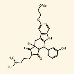 CCC12Cc3c([nH]c4ccc(OCCOC)cc34)C(c3cccc(O)c3)N1C(=O)N(CCCN(C)C)C2=O